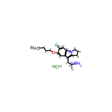 COCCCOc1cc2c(C[C@H](C)N)c3n(c2cc1F)CCC3.Cl